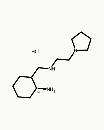 Cl.N[C@H]1CCCCC1CNCCN1CCCC1